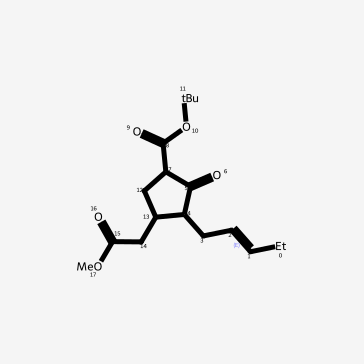 CC/C=C/CC1C(=O)C(C(=O)OC(C)(C)C)CC1CC(=O)OC